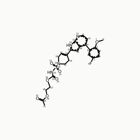 COc1ccc(F)cc1-c1ccnc2[nH]c(C3=CCN(S(=O)(=O)NC(=O)OCCOC(C)=O)CC3)cc12